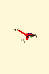 CCCCCCCCCCCCOCc1ccc(-c2nn3nc(C(C)(C)C)c(Cl)c3[nH]2)cc1NC(=O)CCCCC